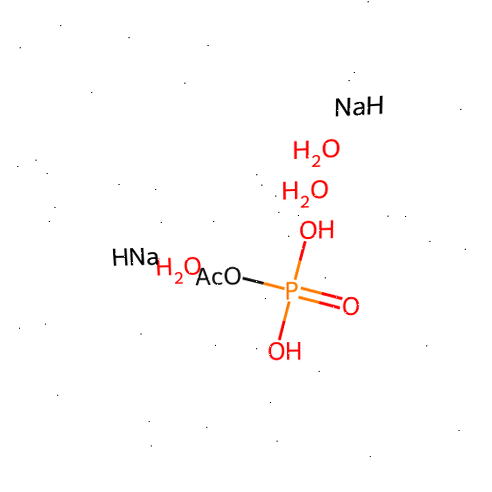 CC(=O)OP(=O)(O)O.O.O.O.[NaH].[NaH]